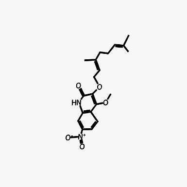 COc1c(OC/C=C(\C)CCC=C(C)C)c(=O)[nH]c2cc([N+](=O)[O-])ccc12